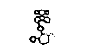 C=C1/C=C\C=C/C/C(c2ccccc2)=N\C(c2ccc(-c3cccc4c3-c3ccccc3C43c4ccccc4Oc4ccccc43)cc2)=N/1